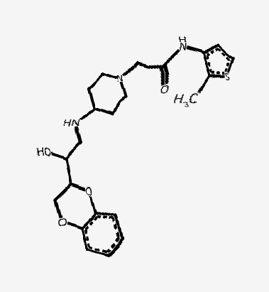 Cc1sccc1NC(=O)CN1CCC(NCC(O)C2COc3ccccc3O2)CC1